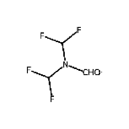 O=[C]N(C(F)F)C(F)F